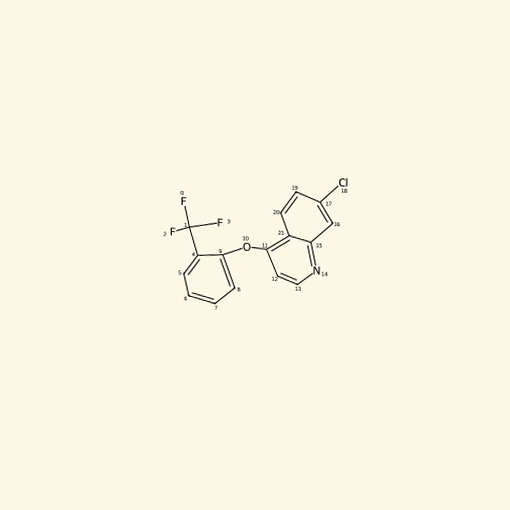 FC(F)(F)c1ccccc1Oc1ccnc2cc(Cl)ccc12